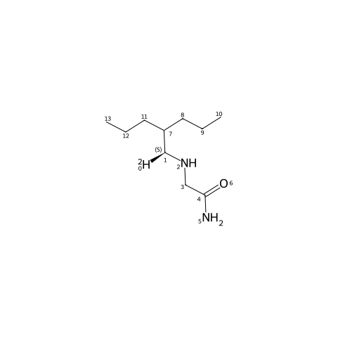 [2H][C@H](NCC(N)=O)C(CCC)CCC